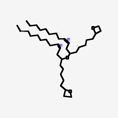 CCCCCCCC/C=C\CC(CCCCCC1CCO1)OC(C/C=C\CCCCCCCC)CCCCCC1CCO1